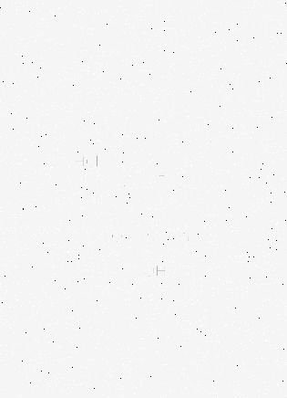 Cl.O=S(=O)(O)C1C2CC3CC(C2)CC1C3